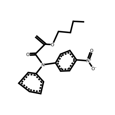 C=C(OCCCC)C(=O)N(c1ccccc1)c1ccc([N+](=O)[O-])cc1